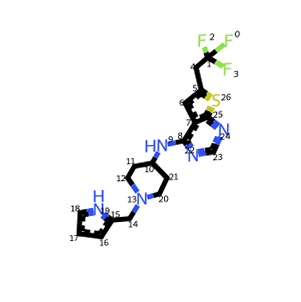 FC(F)(F)Cc1cc2c(NC3CCN(Cc4ccc[nH]4)CC3)ncnc2s1